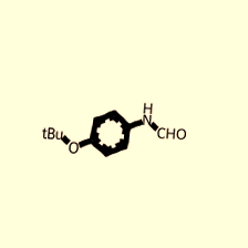 CC(C)(C)Oc1ccc(NC=O)cc1